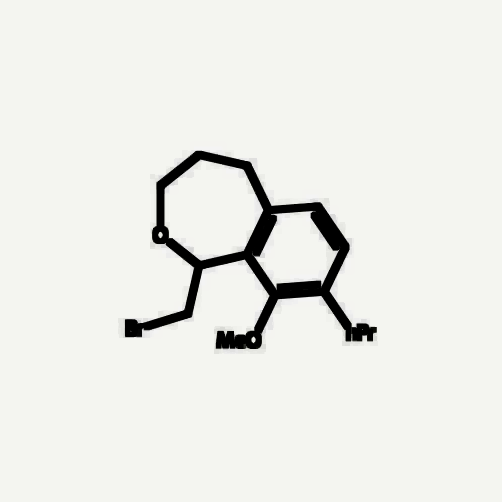 CCCc1ccc2c(c1OC)C(CBr)OCCC2